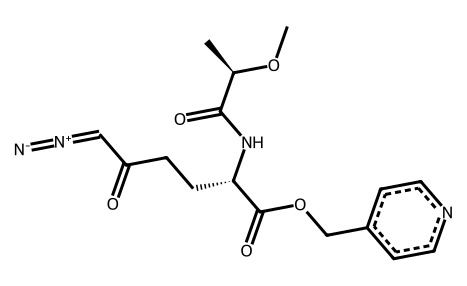 CO[C@H](C)C(=O)N[C@@H](CCC(=O)C=[N+]=[N-])C(=O)OCc1ccncc1